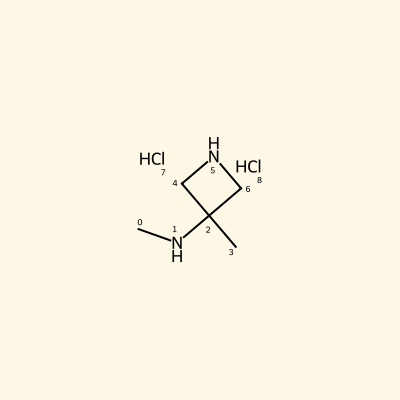 CNC1(C)CNC1.Cl.Cl